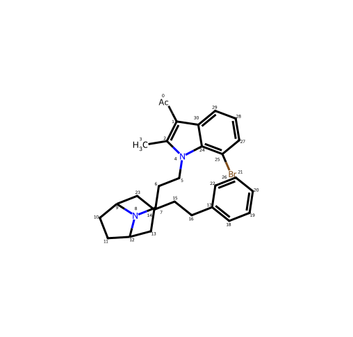 CC(=O)c1c(C)n(CCCN2C3CCC2CC(CCc2ccccc2)C3)c2c(Br)cccc12